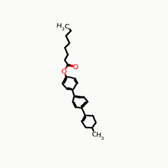 CCCCCCCC(=O)Oc1ccc(-c2ccc(C3=CCC(C)CC3)cc2)cc1